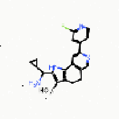 NC(c1[nH]c2c(c1C(=O)O)CCc1cnc(-c3ccnc(F)c3)cc1-2)C1CC1